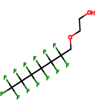 OCCOCC(F)(F)C(F)(F)C(F)(F)C(F)(F)C(F)(F)C(F)(F)F